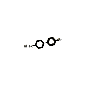 CCCCCC[C@H]1CC[C@H](c2ccc(Br)cc2)CC1